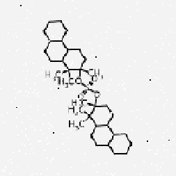 CC1(OS(=O)(=O)OC2(C)CCC3C4CCCCC4CCC3C2(C)C)CCC2C3CCCCC3CCC2C1(C)C